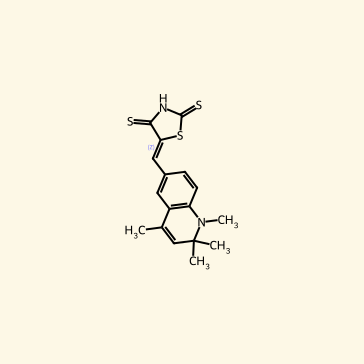 CC1=CC(C)(C)N(C)c2ccc(/C=C3\SC(=S)NC3=S)cc21